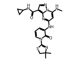 CNc1cc(Nc2cccn(C3=NC(C)(C)CS3)c2=O)nc2c(C(=O)NC3CC3)cnn12